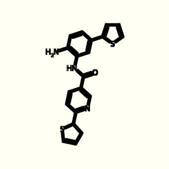 Nc1ccc(-c2cccs2)cc1NC(=O)c1ccc(C2CC=CS2)nc1